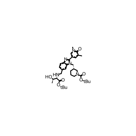 Cc1cc(-c2nc3ccc(CN[C@H](C(=O)OC(C)(C)C)[C@@H](C)O)cc3n2C[C@H]2CCCN(C(=O)OC(C)(C)C)C2)cn(C)c1=O